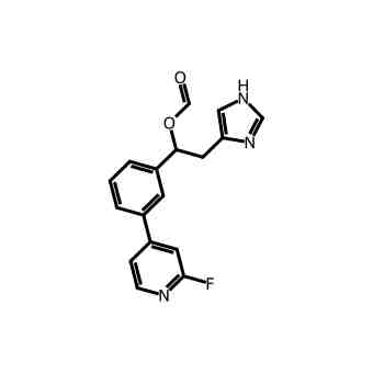 O=COC(Cc1c[nH]cn1)c1cccc(-c2ccnc(F)c2)c1